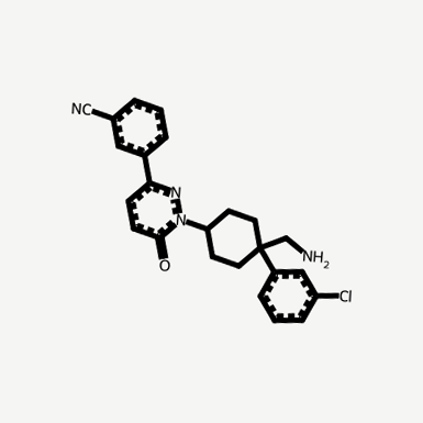 N#Cc1cccc(-c2ccc(=O)n(C3CCC(CN)(c4cccc(Cl)c4)CC3)n2)c1